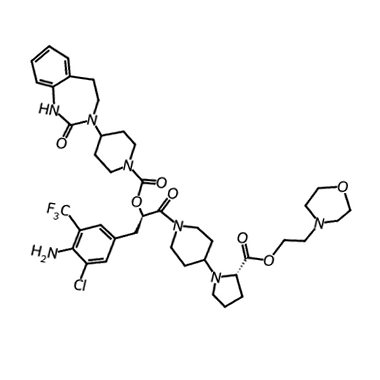 Nc1c(Cl)cc(C[C@@H](OC(=O)N2CCC(N3CCc4ccccc4NC3=O)CC2)C(=O)N2CCC(N3CCC[C@H]3C(=O)OCCN3CCOCC3)CC2)cc1C(F)(F)F